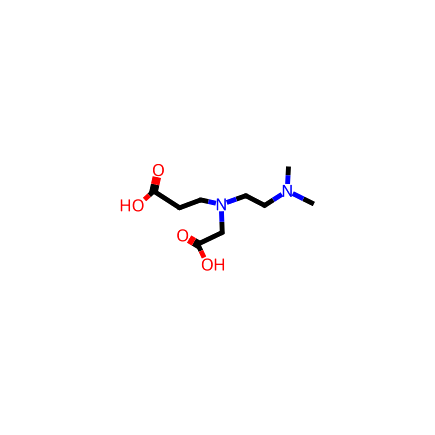 CN(C)CCN(CCC(=O)O)CC(=O)O